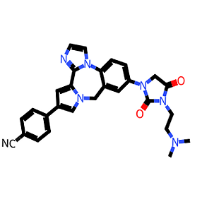 CN(C)CCN1C(=O)CN(c2ccc3c(c2)Cn2cc(-c4ccc(C#N)cc4)cc2-c2nccn2-3)C1=O